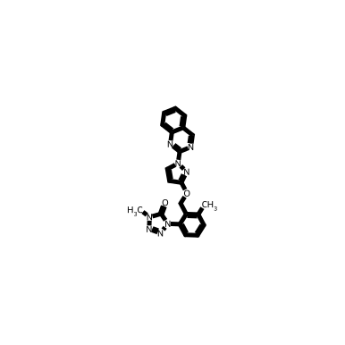 Cc1cccc(-n2nnn(C)c2=O)c1COc1ccn(-c2ncc3ccccc3n2)n1